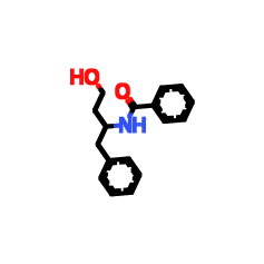 O=C(NC(CCO)Cc1ccccc1)c1ccccc1